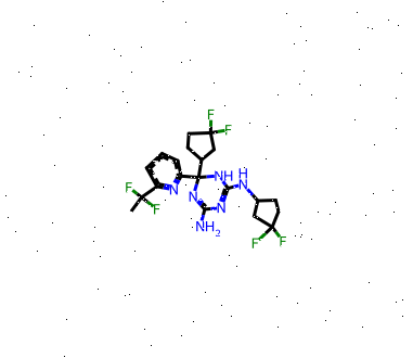 CC(F)(F)c1cccc(C2(C3CCC(F)(F)C3)N=C(N)N=C(NC3CCC(F)(F)C3)N2)n1